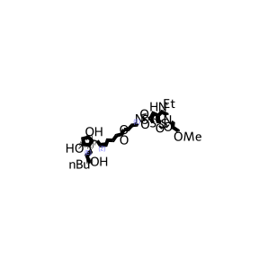 CCCC[C@H](O)/C=C/[C@@H]1[C@@H](C/C=C\CCCC(=O)OCC/C=N/S(=O)(=O)c2cc3c(s2)S(=O)(=O)N(CCCOC)C[C@@H]3NCC)[C@@H](O)C[C@H]1O